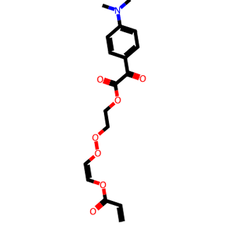 C=CC(=O)O/C=C\OOCCOC(=O)C(=O)c1ccc(N(C)C)cc1